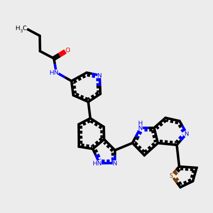 CCCC(=O)Nc1cncc(-c2ccc3[nH]nc(-c4cc5c(-c6cccs6)nccc5[nH]4)c3c2)c1